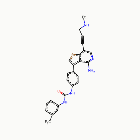 CCNCC#Cc1cnc(N)c2c(-c3ccc(NC(=O)Nc4cccc(C(F)(F)F)c4)cc3)csc12